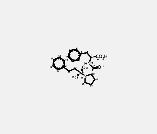 O=C(O)[C@H](Cc1ccccc1)NC(=O)[C@@H]1CCCN1S(=O)(=O)CCc1ccccc1